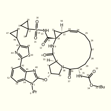 CC(C)n1c(O[C@@H]2C[C@H]3C(=O)N[C@]4(C(=O)NS(=O)(=O)C5(C)CC5)C[C@H]4/C=C\CCCCC[C@H](NC(=O)OC(C)(C)C)C(=O)N3C2)nc2c(-c3nc(C4CC4)cs3)cccc21